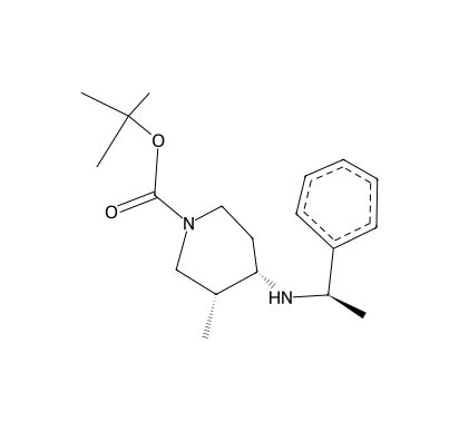 C[C@@H]1CN(C(=O)OC(C)(C)C)CC[C@@H]1N[C@H](C)c1ccccc1